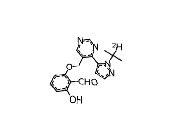 [2H]C(C)(C)n1nccc1-c1ncncc1COc1cccc(O)c1C=O